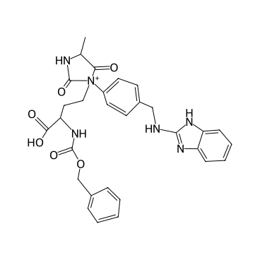 CC1NC(=O)[N+](CCC(NC(=O)OCc2ccccc2)C(=O)O)(c2ccc(CNc3nc4ccccc4[nH]3)cc2)C1=O